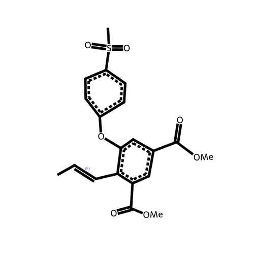 C/C=C/c1c(Oc2ccc(S(C)(=O)=O)cc2)cc(C(=O)OC)cc1C(=O)OC